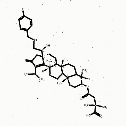 CC(C)C1=C2[C@H]3CCC4[C@@]5(C)CC[C@H](OC(=O)CC(C)(C)C(=O)O)C(C)(C)C5CC[C@@]4(C)[C@]3(C)CC[C@@]2([C@H](O)CNCc2ccc(F)cc2)CC1=O